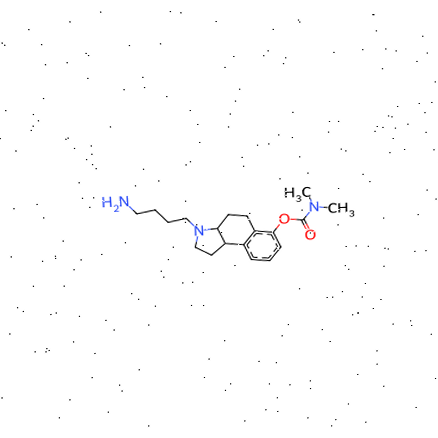 CN(C)C(=O)Oc1cccc2c1CCC1C2CCN1CCCCN